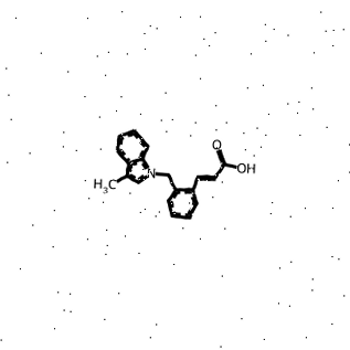 Cc1cn(Cc2ccccc2/C=C/C(=O)O)c2ccccc12